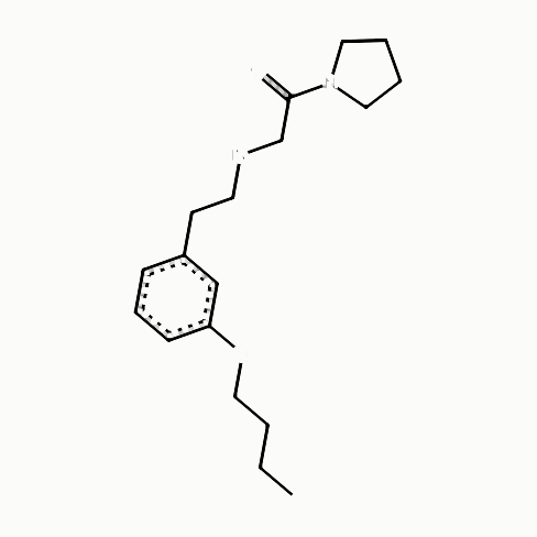 CCCCOc1cccc(CCNCC(=O)N2CCCC2)c1